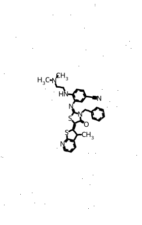 CC1C(=C2SC(=Nc3cc(C#N)ccc3NCCN(C)C)N(Cc3ccccc3)C2=O)Sc2ncccc21